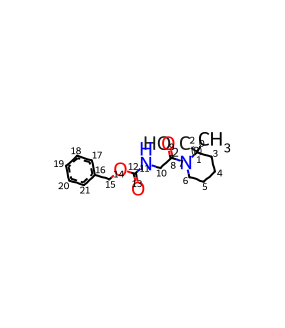 C[C@]1(C(=O)O)CCCCN1C(=O)CNC(=O)OCc1ccccc1